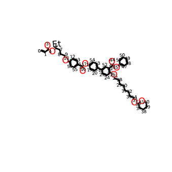 C=CC(=O)OC(CC)CCCOc1ccc(C(=O)Oc2ccc(-c3ccc(OCCCCCCCCOC4CCCCO4)c(C(=O)Oc4ccccc4)c3)cc2)cc1